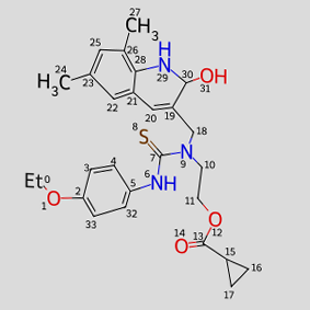 CCOc1ccc(NC(=S)N(CCOC(=O)C2CC2)CC2=Cc3cc(C)cc(C)c3NC2O)cc1